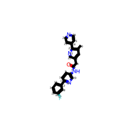 Cc1cc(CC(=O)Nc2ccc(-c3cccc(F)c3)nc2)cnc1-c1ccncc1